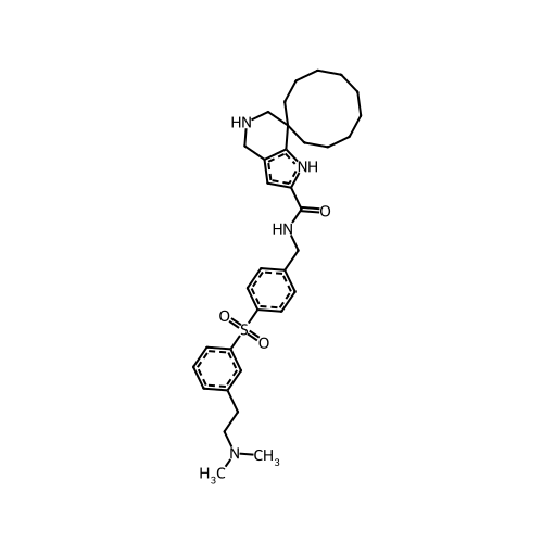 CN(C)CCc1cccc(S(=O)(=O)c2ccc(CNC(=O)c3cc4c([nH]3)C3(CCCCCCCCC3)CNC4)cc2)c1